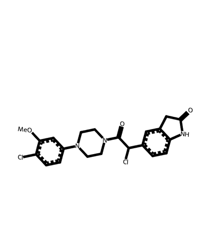 COc1cc(N2CCN(C(=O)C(Cl)c3ccc4c(c3)CC(=O)N4)CC2)ccc1Cl